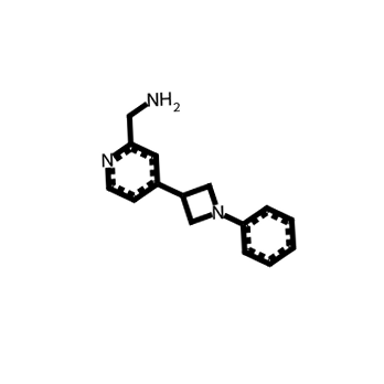 NCc1cc(C2CN(c3ccccc3)C2)ccn1